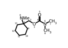 CNC1(COC(=O)N(C)C)CCCCC1